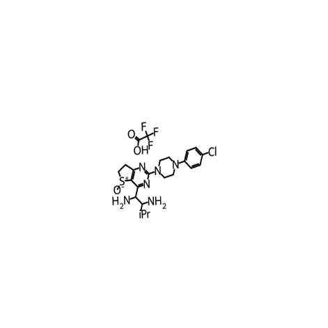 CC(C)C(N)C(N)c1nc(N2CCN(c3ccc(Cl)cc3)CC2)nc2c1[S+]([O-])CC2.O=C(O)C(F)(F)F